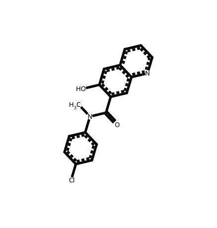 CN(C(=O)c1cc2ncccc2cc1O)c1ccc(Cl)cc1